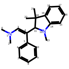 CN(C)C=C(c1ccccc1)C1N(C)c2ccccc2C1(C)C